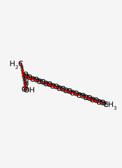 C=CCCCCCCCCCC(CCCCCCCCCCC(=O)O)C(=O)NCCOCCOCCOCCOCCOCCOCCOCCOCCOCCOCCOCCOCCOCCOCCOCCOCCOCCOCCOCCOCCOCCOCCOCCC